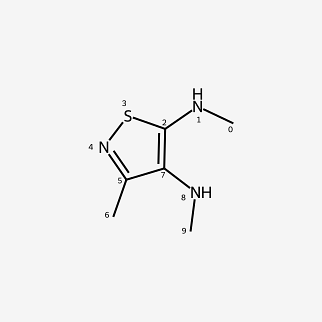 CNc1snc(C)c1NC